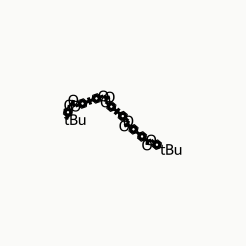 CC(C)(C)c1ccc(OC(=O)Oc2ccc(C(C)(C)c3ccc(OC(=O)Oc4ccc(C(C)(C)c5ccc(OC(=O)c6ccc(-c7ccc(C(=O)Oc8ccc(C(C)(C)C)cc8)cc7)cc6)cc5)cc4)cc3)cc2)cc1